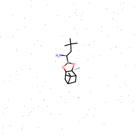 CC(C)(C)C[C@H](N)B1OC2CC3CC(C3(C)C)[C@]2(C)O1